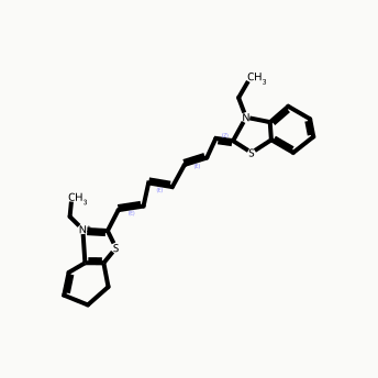 CCN1/C(=C/C=C/C=C/C=C/c2sc3c([n+]2CC)C=CCC3)Sc2ccccc21